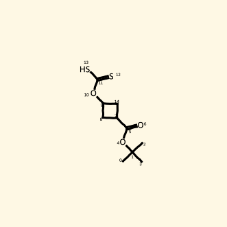 CC(C)(C)OC(=O)C1CC(OC(=S)S)C1